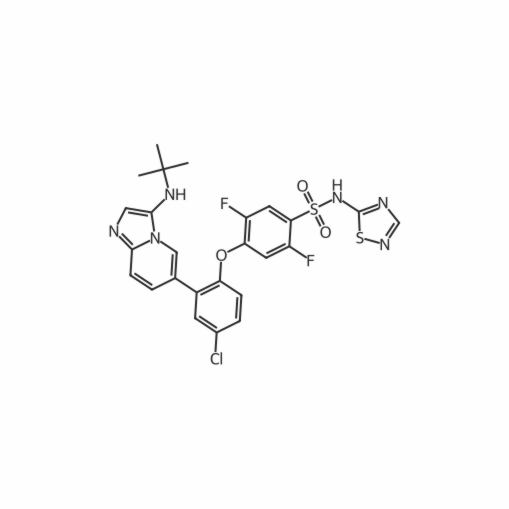 CC(C)(C)Nc1cnc2ccc(-c3cc(Cl)ccc3Oc3cc(F)c(S(=O)(=O)Nc4ncns4)cc3F)cn12